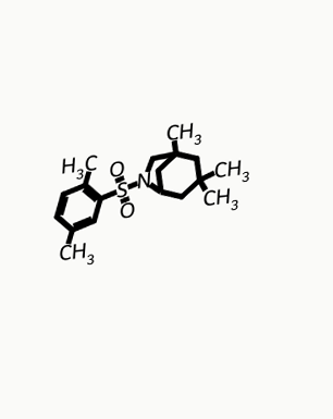 Cc1ccc(C)c(S(=O)(=O)N2CC3(C)CC2CC(C)(C)C3)c1